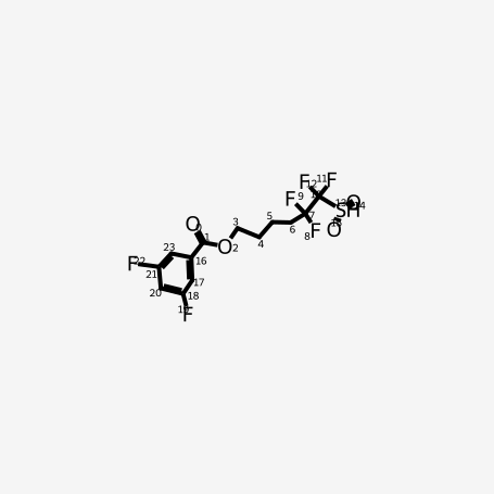 O=C(OCCCCC(F)(F)C(F)(F)[SH](=O)=O)c1cc(F)cc(F)c1